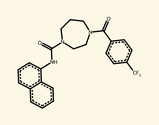 O=C(Nc1cccc2ccccc12)N1CCCN(C(=O)c2ccc(C(F)(F)F)cc2)CC1